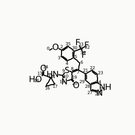 COc1ccc(CC(=C2SC(NC3(C(=O)O)CC3)=NC2=O)c2ccc3[nH]ncc3c2)c(C(F)(F)F)c1